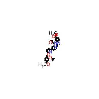 COC(=O)c1ccc2nc(CN3CCC(c4cccc(OCc5ccc(C(C)=O)cc5OC5CC5)n4)CC3)n(CC3CCO3)c2c1